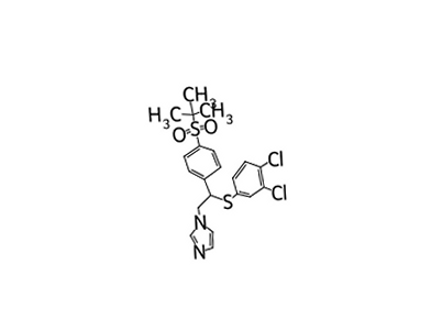 CC(C)(C)S(=O)(=O)c1ccc(C(Cn2ccnc2)Sc2ccc(Cl)c(Cl)c2)cc1